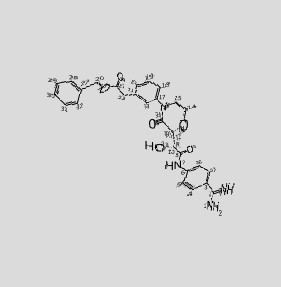 N=C(N)c1ccc(NC(=O)[C@H](O)[C@H]2OCCN(c3cccc(CC(=O)OCc4ccccc4)c3)C2=O)cc1